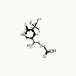 CC(COCC(=O)O)c1c[nH]c(=O)c(C(F)(F)F)c1